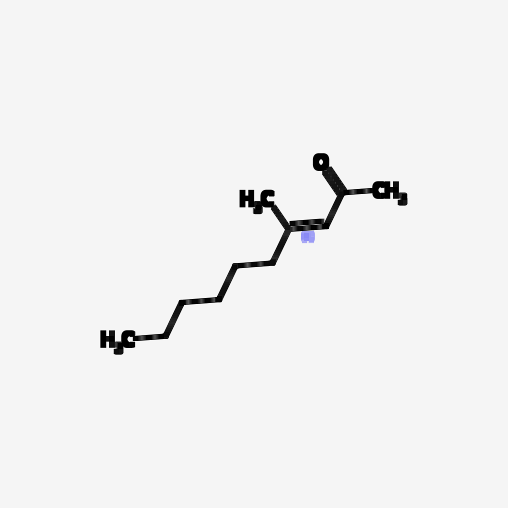 CCCCCC/C(C)=C/C(C)=O